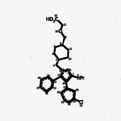 CCCc1nn(C[C@H]2CC[C@@H](COCC(=O)O)CC2)c(-c2ccccc2)c1-c1cccc(Cl)c1